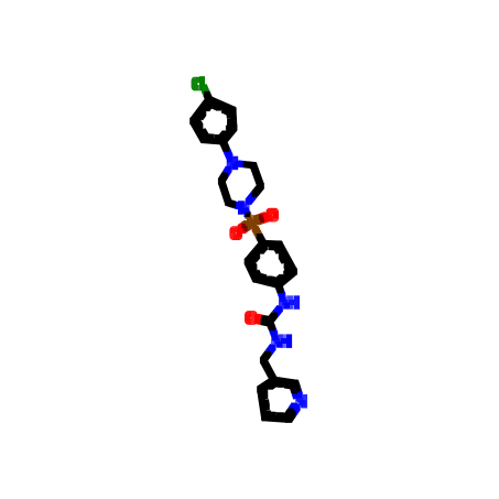 O=C(NCc1cccnc1)Nc1ccc(S(=O)(=O)N2CCN(c3ccc(Cl)cc3)CC2)cc1